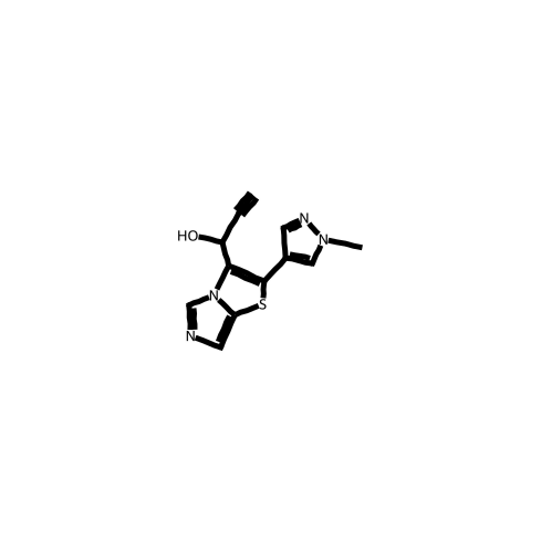 C#CC(O)c1c(-c2cnn(C)c2)sc2cncn12